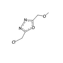 COCc1nnc(CCl)o1